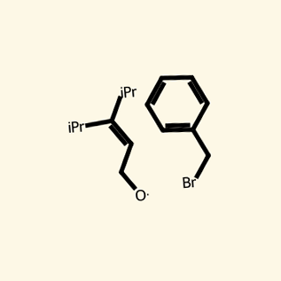 BrCc1ccccc1.CC(C)C(=CC[O])C(C)C